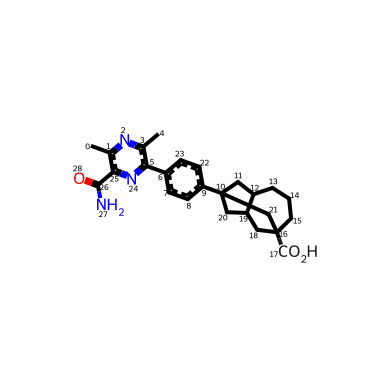 Cc1nc(C)c(-c2ccc(C34CC5CCCC(C(=O)O)(CC5C3)C4)cc2)nc1C(N)=O